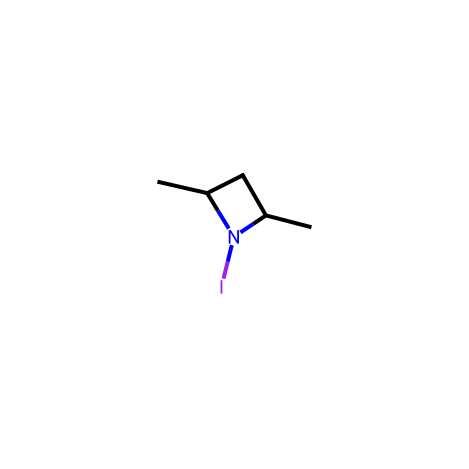 CC1CC(C)N1I